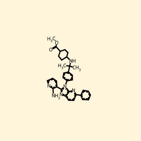 COC(=O)C1CCC(NC(C)(C)c2ccc(-n3c(-c4cccnc4N)nc4ccc(-c5ccccc5)nc43)cc2)CC1